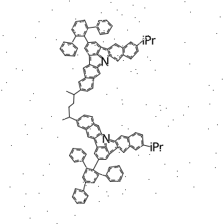 CC(C)c1ccc2cc3c(cc2c1)c1cc(-c2c(-c4ccccc4)cccc2-c2ccccc2)cc2c4cc5cc(C(C)CCC(C)c6ccc7cc8c(cc7c6)c6cc(-c7c(-c9ccccc9)cc(-c9ccccc9)cc7-c7ccccc7)cc7c9cc%10cc(C(C)C)ccc%10cc9n8c76)ccc5cc4n3c12